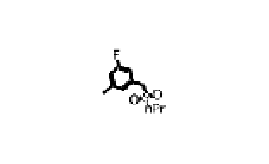 CCCS(=O)(=O)Cc1cc(C)cc(F)c1